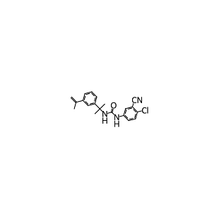 C=C(C)c1cccc(C(C)(C)NC(=O)Nc2ccc(Cl)c(C#N)c2)c1